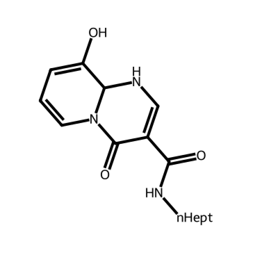 CCCCCCCNC(=O)C1=CNC2C(O)=CC=CN2C1=O